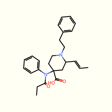 CC=CC1CC(C(=O)O)(N(C(=O)CC)c2ccccc2)CCN1CCc1ccccc1